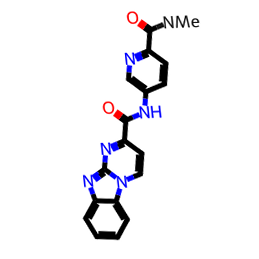 CNC(=O)c1ccc(NC(=O)c2ccn3c(n2)nc2ccccc23)cn1